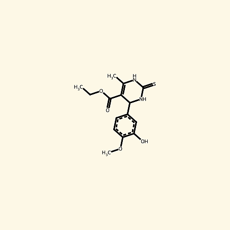 CCOC(=O)C1=C(C)NC(=S)NC1c1ccc(OC)c(O)c1